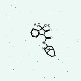 CN1C2CCC1CC(NC(=O)N1C(=O)C(C)(C)c3ccccc31)C2